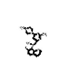 Cc1nc(CN(C)c2c(F)ccc3cccnc23)cc(N2CCN(C)CC2)n1